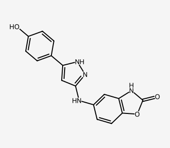 O=c1[nH]c2cc(Nc3cc(-c4ccc(O)cc4)[nH]n3)ccc2o1